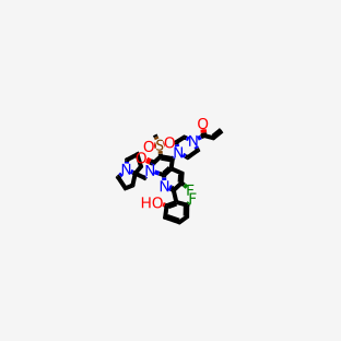 C=CC(=O)N1CCN(c2c(S(C)(=O)=O)c(=O)n(CC34CCCN3CCC4)c3nc(-c4c(O)cccc4F)c(F)cc23)CC1